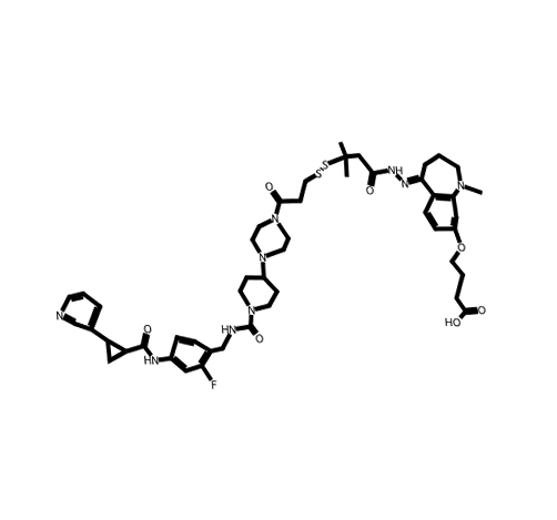 CN1CCC/C(=N\NC(=O)CC(C)(C)SSCCC(=O)N2CCN(C3CCN(C(=O)NCc4ccc(NC(=O)C5CC5c5cccnc5)cc4F)CC3)CC2)c2ccc(OCCCC(=O)O)cc21